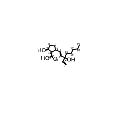 C=CC(O)(C=CC1CCC(O)C1C(=O)O)CCCCC